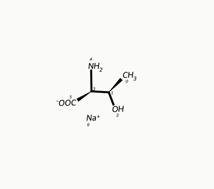 C[C@@H](O)[C@H](N)C(=O)[O-].[Na+]